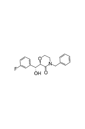 O=C1[C@@H]([C@H](O)c2cccc(F)c2)OCCN1Cc1ccccc1